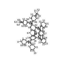 Cc1ccc(N(c2ccc(C)cc2)c2cc3c4c(c2)-n2c5ccccc5c5cc6c7ccccc7n7c6c(c52)B4C2C7=CC(N(c4ccc(C(C)(C)C)cc4)c4ccc(C(C)(C)C)cc4)=CC2C3)cc1